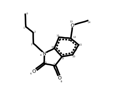 CCCCN1C(=O)C(=O)c2ccc(OC)cc21